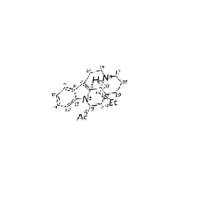 CC[C@@]12C=C(C(C)=O)n3c4c(c5ccccc53)CCN(CCC1)[C@H]42